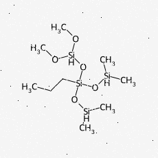 CCC[Si](O[SiH](C)C)(O[SiH](C)C)O[SiH](OC)OC